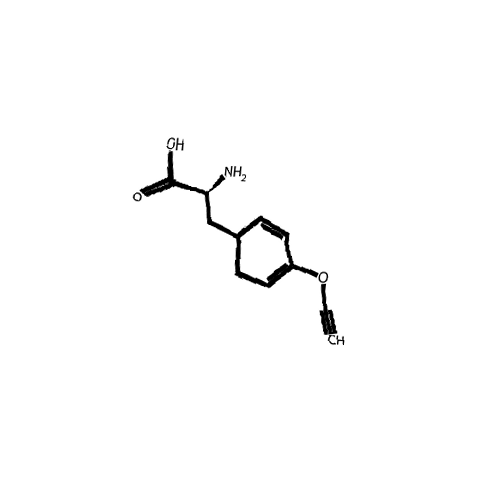 C#COC1=CCC(C[C@H](N)C(=O)O)C=C1